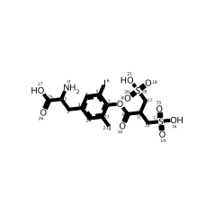 NC(Cc1cc(I)c(OC(=O)C(CS(=O)(=O)O)CS(=O)(=O)O)c(I)c1)C(=O)O